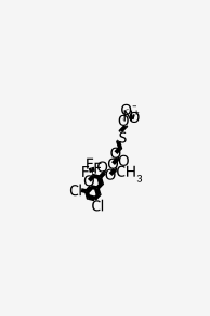 CC(OC(=O)OCCSCCO[N+](=O)[O-])OC(=O)C1=Cc2cc(Cl)cc(Cl)c2O[C@@H]1C(F)(F)F